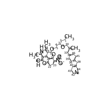 CCCC(CCOC(=O)C1=C(C)NC(C)=C(C(=O)O)C1c1cccc([N+](=O)[O-])c1)OCC(C)=Cc1ccc(Cc2cccnc2)cc1